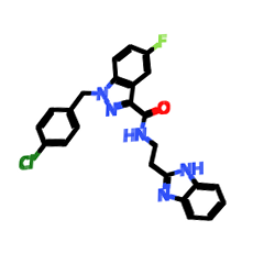 O=C(NCCc1nc2ccccc2[nH]1)c1nn(Cc2ccc(Cl)cc2)c2ccc(F)cc12